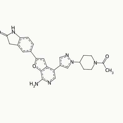 CC(=O)N1CCC(n2cc(-c3cnc(N)c4oc(-c5ccc6c(c5)CC(=O)N6)cc34)cn2)CC1